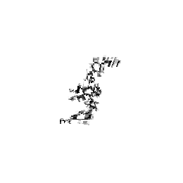 Cc1nc2c(-c3ccc(-c4ccc(CC(C)C)cc4)s3)c3nsnc3c(-c3ccc(-c4ccc(CC(C)C)cc4)s3)c2nc1C